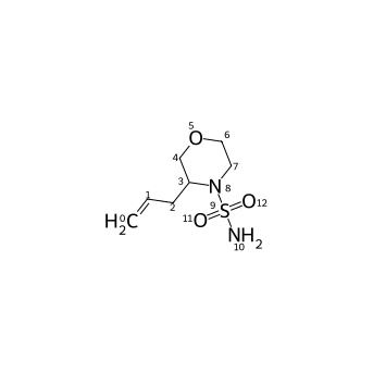 C=CCC1COCCN1S(N)(=O)=O